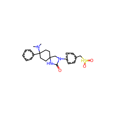 CN(C)C1(c2ccccc2)CCC2(CC1)CN(c1ccc(C[SH](=O)=O)cc1)C(=O)N2